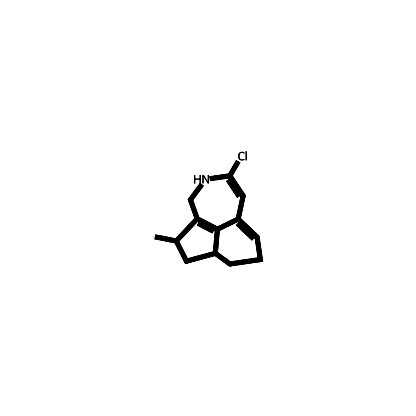 CC1CC2CCC=C3C=C(Cl)NCC1=C32